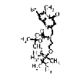 Cn1c(Br)cc2nc(CN(CCO[Si](C)(C)C(C)(C)C)C(=O)OC(C)(C)C)cc(=O)n21